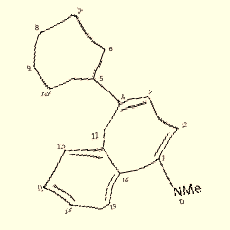 CNc1ccc(C2CCCCC2)c2ccccc12